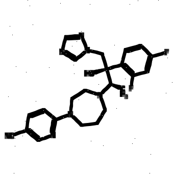 C[C@@H](N1CCCN(c2ccc(C#N)cn2)CC1)[C@](O)(Cn1cncn1)c1ccc(F)cc1F